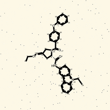 CCO/N=C1\C[C@@H](C(=O)Nc2ccc3c(c2)c2ccccc2n3CC)N(C(=O)c2ccc(Oc3ccccc3)cc2)C1